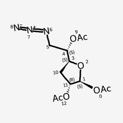 CC(=O)O[C@@H]1O[C@H]([C@H](CN=[N+]=[N-])OC(C)=O)C[C@H]1OC(C)=O